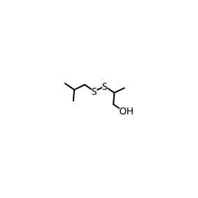 CC(C)CSSC(C)CO